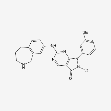 CCn1c(=O)c2cnc(Nc3ccc4c(c3)CNCCC4)nc2n1-c1ccnc(C(C)(C)C)c1